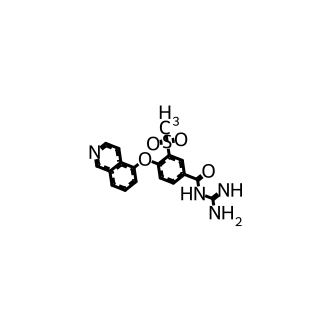 CS(=O)(=O)c1cc(C(=O)NC(=N)N)ccc1Oc1cccc2cnccc12